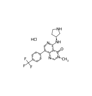 Cl.Cn1cnc2c(-c3ccc(C(F)(F)F)cc3)cnc(N[C@H]3CCNC3)c2c1=O